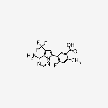 Cc1cc(F)c(-c2cc(C(F)(F)F)c3c(N)ncnn23)cc1C(=O)O